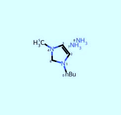 CCCCN1C=CN(C)C1.N.N